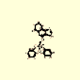 O=P(COC1=c2scnc2=C2CCCCC2C1)(Oc1ccccc1)Oc1ccccc1